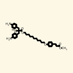 COC(=O)C=Cc1ccc(OCCCCCCCCCCCOC(=O)C(Cc2ccc(N)cc2)(Cc2ccc(N)cc2)C(=O)O)cc1